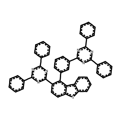 c1ccc(-c2nc(-c3ccccc3)nc(-c3cccc(-c4c(-c5nc(-c6ccccc6)nc(-c6ccccc6)n5)ccc5sc6ccccc6c45)c3)n2)cc1